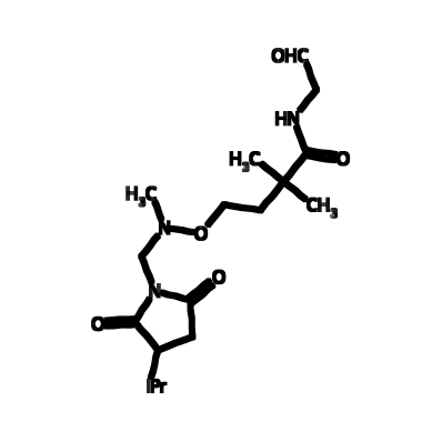 CC(C)C1CC(=O)N(CN(C)OCCC(C)(C)C(=O)NCC=O)C1=O